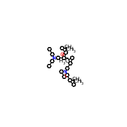 CC1(C)c2ccccc2-c2ccc(-c3ccc(N(c4ccc(-c5ccc6c(c5)C(C)(Cc5ccc(-c7ccc(N(c8ccc(-c9ccccc9)cc8)c8ccc(-c9ccccc9)cc8)cc7)c7oc8c9c(ccc8c57)C(C)(C)c5ccccc5-9)c5ccccc5-6)cc4)c4ccccc4-c4ccccc4)cc3)cc21